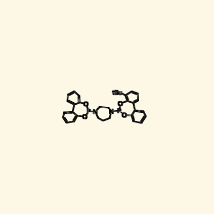 CC(C)(C)c1cccc2c1op(N1CCCN(p3oc4ccccc4c4ccccc4o3)CC1)oc1ccccc12